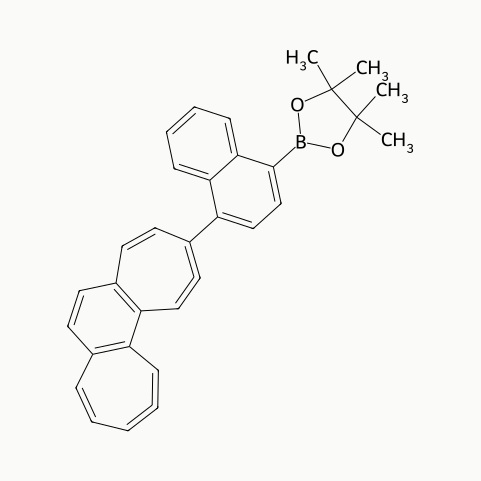 CC1(C)OB(c2ccc(C3=C=Cc4c(ccc5c4C=C=CC=C5)C=C3)c3ccccc23)OC1(C)C